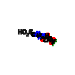 C[C@]1(C(=O)Nc2cnc(N3CCC(C(=O)O)C3)cn2)COc2cc3c(cc21)OC(F)(F)O3